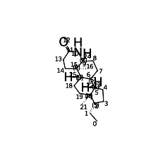 CC[C@H]1CC[C@H]2[C@@H]3CC[C@H]4NC(=O)CC[C@]4(C)[C@H]3CC[C@]12C